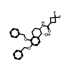 O=C(N[C@@H]1CCc2c(ccc(OCc3ccccc3)c2OCc2ccccc2)[C@H]1O)C1CC(F)(F)C1